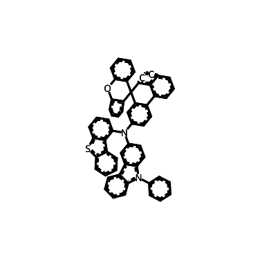 c1ccc(-n2c3ccccc3c3cc(N(c4ccc5c(c4)C4(c6ccccc6Oc6ccccc64)c4cccc6cccc-5c46)c4cccc5sc6ccccc6c45)ccc32)cc1